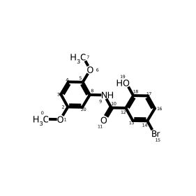 COc1ccc(OC)c(NC(=O)c2cc(Br)ccc2O)c1